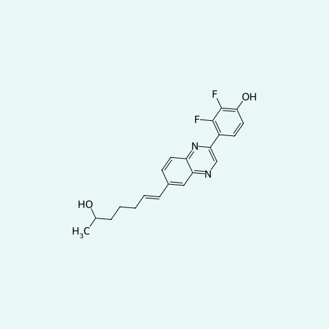 CC(O)CCCC=Cc1ccc2nc(-c3ccc(O)c(F)c3F)cnc2c1